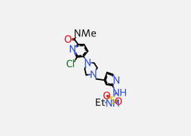 CCNS(=O)(=O)Nc1cc(CN2CCN(c3ccc(C(=O)NC)nc3Cl)CC2)ccn1